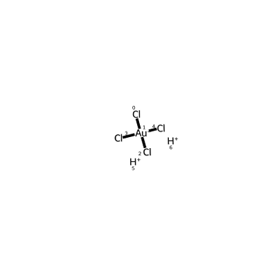 [Cl][Au-]([Cl])([Cl])[Cl].[H+].[H+]